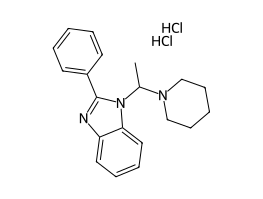 CC(N1CCCCC1)n1c(-c2ccccc2)nc2ccccc21.Cl.Cl